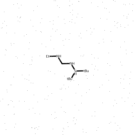 CCNCN[SiH](C(C)(C)C)C(C)(C)C